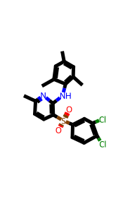 Cc1cc(C)c(Nc2nc(C)ccc2S(=O)(=O)c2ccc(Cl)c(Cl)c2)c(C)c1